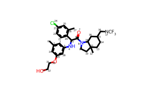 Cc1cc(NC(C(=O)N2CCC3(C)CCC(CNC(F)(F)F)CC23)c2ccc(Cl)cc2C)cc(OCCO)c1